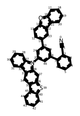 N#Cc1ccccc1-c1cc(-c2ccc3oc4ccccc4c3c2)cc(-n2c3ccccc3c3cc4c(cc32)sc2ccccc24)c1